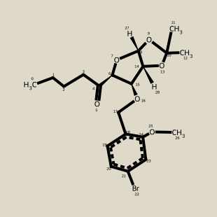 CCCCC(=O)[C@H]1O[C@@H]2OC(C)(C)O[C@@H]2[C@H]1OCc1ccc(Br)cc1OC